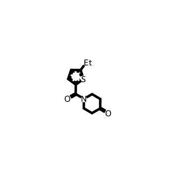 CCc1ccc(C(=O)N2CCC(=O)CC2)s1